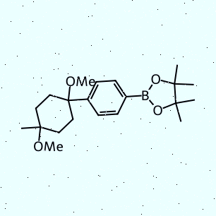 COC1(C)CCC(OC)(c2ccc(B3OC(C)(C)C(C)(C)O3)cc2)CC1